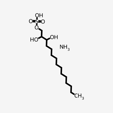 CCCCCCCCCCCCC(O)C(O)COS(=O)(=O)O.N